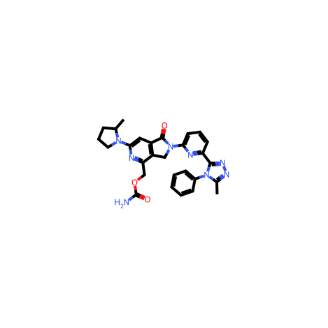 Cc1nnc(-c2cccc(N3Cc4c(cc(N5CCCC5C)nc4COC(N)=O)C3=O)n2)n1-c1ccccc1